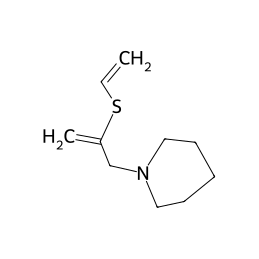 C=CSC(=C)CN1CCCCC1